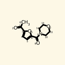 CC(=O)c1ccc(C(=O)N2CCOCC2)o1